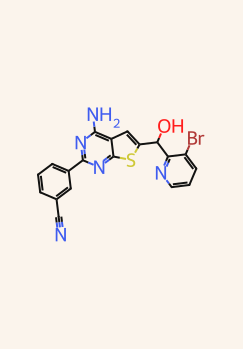 N#Cc1cccc(-c2nc(N)c3cc(C(O)c4ncccc4Br)sc3n2)c1